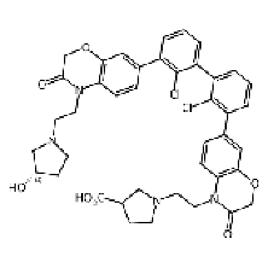 O=C(O)C1CCN(CCN2C(=O)COc3cc(-c4cccc(-c5cccc(-c6ccc7c(c6)OCC(=O)N7CCN6CC[C@H](O)C6)c5Cl)c4Cl)ccc32)C1